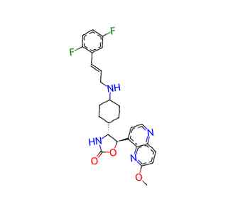 COc1ccc2nccc([C@H]3OC(=O)N[C@@H]3C3CCC(NC/C=C/c4cc(F)ccc4F)CC3)c2n1